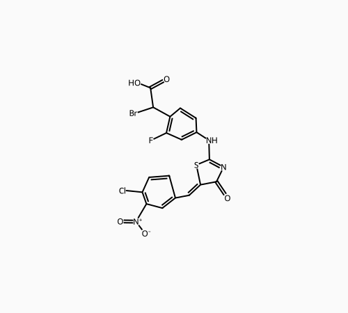 O=C1N=C(Nc2ccc(C(Br)C(=O)O)c(F)c2)SC1=Cc1ccc(Cl)c([N+](=O)[O-])c1